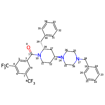 O=C(c1cc(C(F)(F)F)cc(C(F)(F)F)c1)N1CC[C@H](N2CCN(Cc3ccccc3)CC2)C[C@H]1Cc1ccccc1